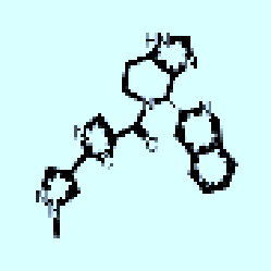 Cn1cc(-c2ncc(C(=O)N3CCc4[nH]cnc4[C@@H]3c3cc4ccccc4cn3)o2)cn1